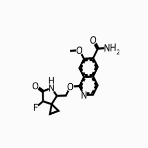 COc1cc2c(OCC3NC(=O)C(F)C34CC4)nccc2cc1C(N)=O